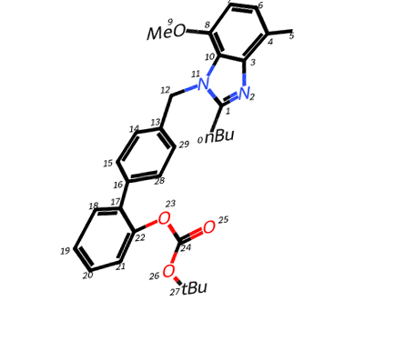 CCCCc1nc2c(C)ccc(OC)c2n1Cc1ccc(-c2ccccc2OC(=O)OC(C)(C)C)cc1